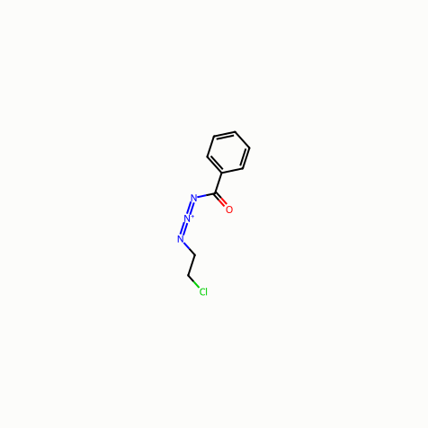 O=C(N=[N+]=NCCCl)c1ccccc1